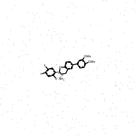 COc1ccc(-c2ccc3c(c2)C[C@H](N)[C@@H](c2cc(F)c(F)cc2F)O3)cc1OC